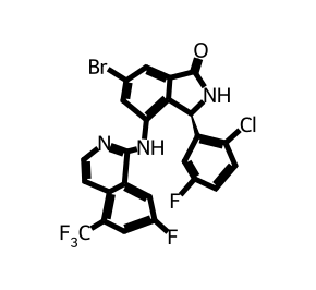 O=C1N[C@@H](c2cc(F)ccc2Cl)c2c(Nc3nccc4c(C(F)(F)F)cc(F)cc34)cc(Br)cc21